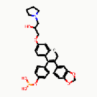 CCC(=C(c1ccc(OCC(O)CN2CCCC2)cc1)c1ccc(OP(O)O)cc1)c1ccc2c(c1)OCO2